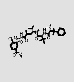 CN[C@H](C(=O)N[C@H](C(=O)N(C)[C@H](/C=C(\C)C(=O)NS(=O)(=O)c1cc(C(=O)OC)ccc1Cl)C(C)C)C(C)(C)C)C(C)(C)c1ccccc1